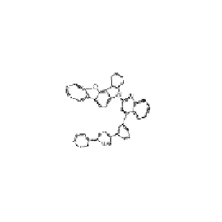 c1ccc(-c2ccc(-c3cccc(-c4cc(-n5c6ccccc6c6c7oc8ccccc8c7ccc65)nc5ccccc45)c3)cc2)cc1